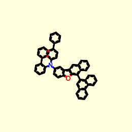 c1ccc(-c2ccc(N(c3ccc4oc5c(-c6cc7ccccc7c7ccccc67)c6ccccc6cc5c4c3)c3ccccc3-c3ccccc3)cc2)cc1